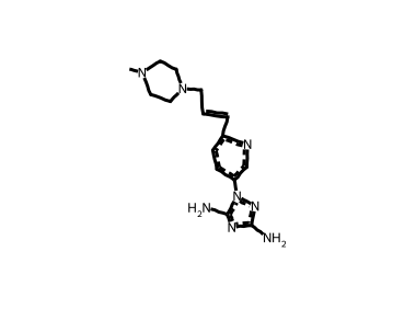 CN1CCN(CC=Cc2ccc(-n3nc(N)nc3N)cn2)CC1